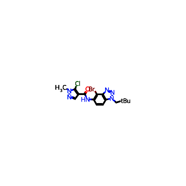 Cn1ncc(C(=O)Nc2ccc3c(nnn3CC(C)(C)C)c2Br)c1Cl